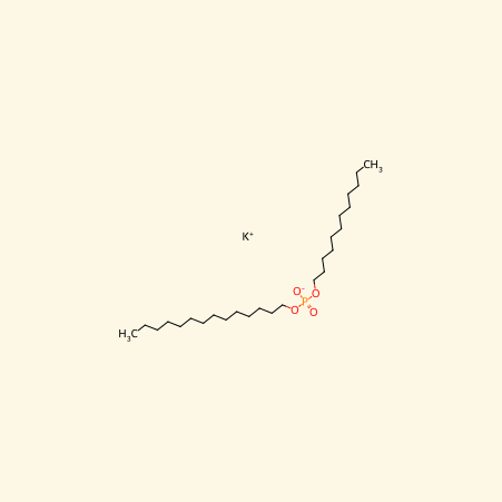 CCCCCCCCCCCCCCOP(=O)([O-])OCCCCCCCCCCCC.[K+]